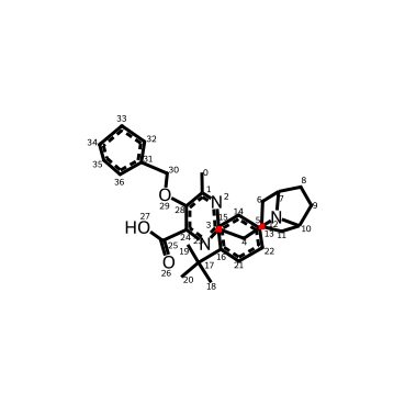 Cc1nc(CC2CC3CCC(C2)N3c2ccc(C(C)(C)C)cc2)nc(C(=O)O)c1OCc1ccccc1